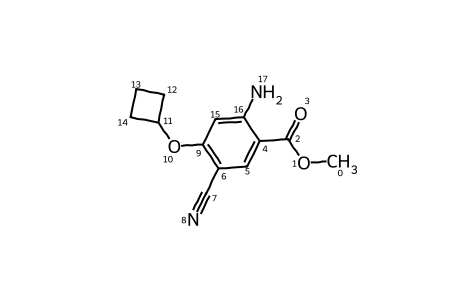 COC(=O)c1cc(C#N)c(OC2CCC2)cc1N